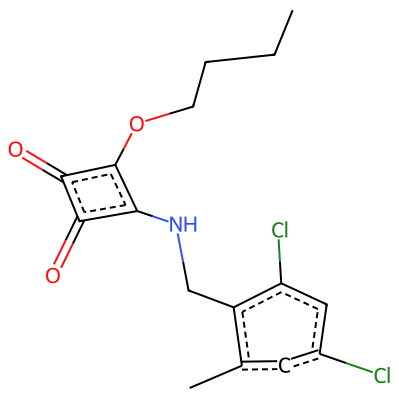 CCCCOc1c(NCc2c(C)cc(Cl)cc2Cl)c(=O)c1=O